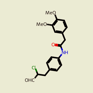 COc1ccc(CC(=O)Nc2ccc(CC(Cl)C=O)cc2)cc1OC